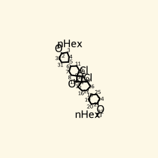 CCCCCCO[C@H]1CC[C@H](C2CCC3(CC2)C(=O)C2(CCC([C@H]4CC[C@H](OCCCCCC)CC4)CC2)C3(Cl)Cl)CC1